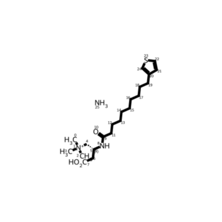 C[N+](C)(C)C[C@@H](CC(=O)O)NC(=O)CCCCCCCCCc1ccsc1.N